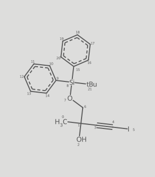 CC(O)(C#CI)CO[Si](c1ccccc1)(c1ccccc1)C(C)(C)C